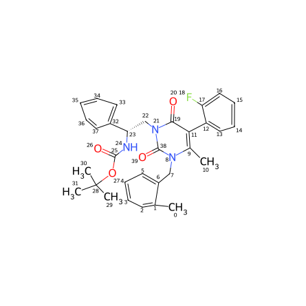 Cc1ccccc1Cn1c(C)c(-c2ccccc2F)c(=O)n(C[C@H](NC(=O)OC(C)(C)C)c2ccccc2)c1=O